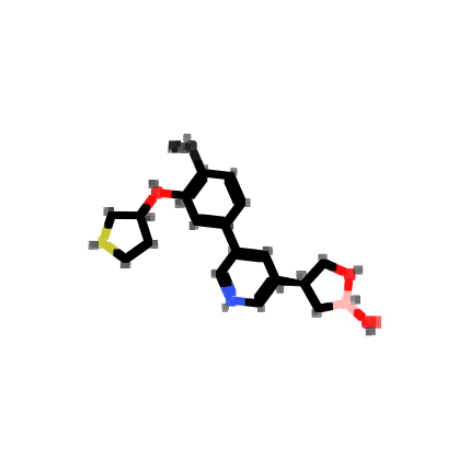 COc1ccc(-c2cncc([C@H]3COB(O)C3)c2)cc1OC1CCSC1